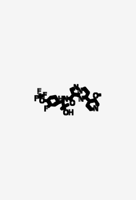 COc1cnccc1-c1ccn2ncc(C(=O)N[C@@H](c3ccc(OC(F)(F)F)c(F)c3)C(C)(C)O)c2n1